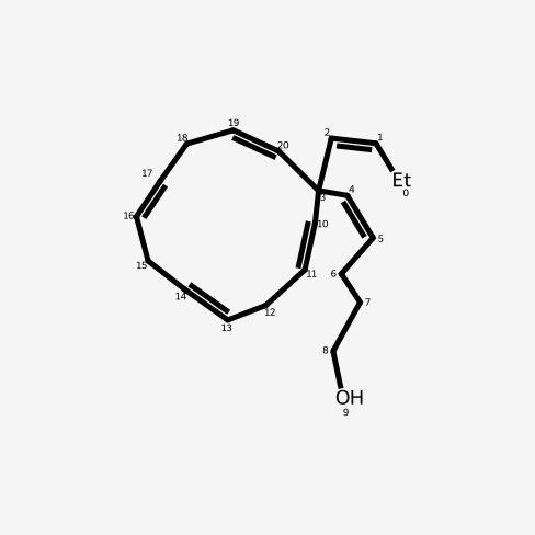 CC/C=C\C1(/C=C\CCCO)/C=C\C/C=C\C/C=C\C/C=C\1